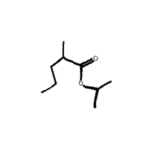 [CH2]C(CCC)C(=O)OC(C)C